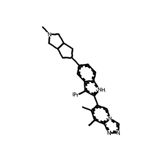 Cc1c(-c2[nH]c3ccc(C4CC5CN(C)CC5C4)cc3c2C(C)C)cn2cnnc2c1C